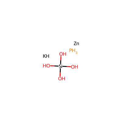 O[Si](O)(O)O.P.[KH].[Zn]